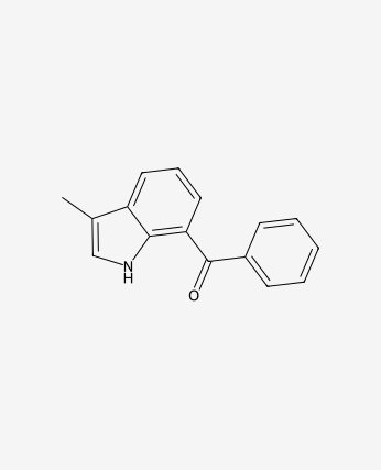 Cc1c[nH]c2c(C(=O)c3ccccc3)cccc12